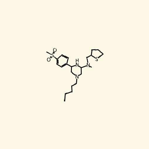 CCCCCN1CC(c2ccc(S(C)(=O)=O)cc2)NC(N(C)CC2CCCS2)C1